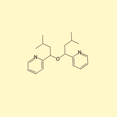 CC(C)CC(OC(CC(C)C)c1ccccn1)c1ccccn1